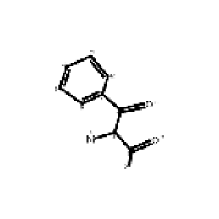 CC(=O)[CH]([Ni])C(=O)c1ccccc1